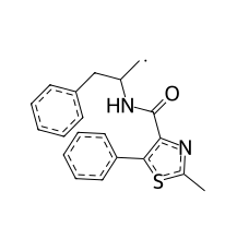 [CH2]C(Cc1ccccc1)NC(=O)c1nc(C)sc1-c1ccccc1